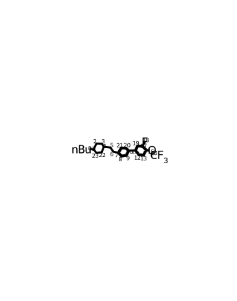 CCCCC1CCC(CCc2ccc(-c3ccc(OC(F)(F)F)c(F)c3)cc2)CC1